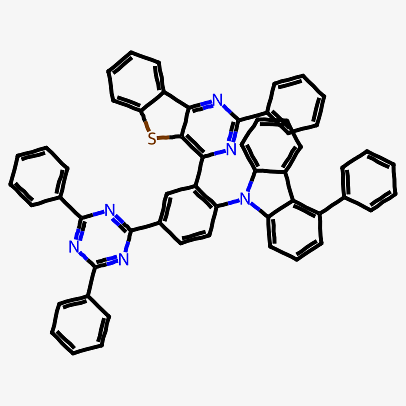 c1ccc(-c2nc(-c3ccccc3)nc(-c3ccc(-n4c5ccccc5c5c(-c6ccccc6)cccc54)c(-c4nc(-c5ccccc5)nc5c4sc4ccccc45)c3)n2)cc1